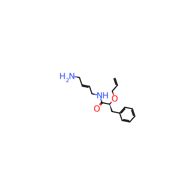 C=CCO[C@@H](Cc1ccccc1)C(=O)NC/C=C/CN